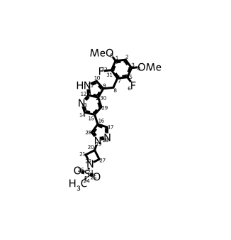 COc1cc(OC)c(F)c(Cc2c[nH]c3ncc(-c4cnn(C5CN(S(C)(=O)=O)C5)c4)cc23)c1F